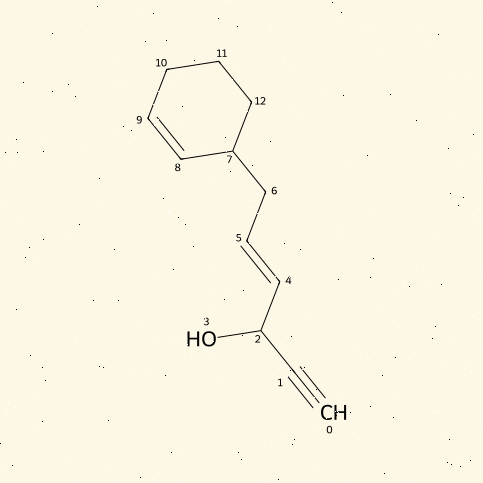 C#CC(O)C=CCC1C=CCCC1